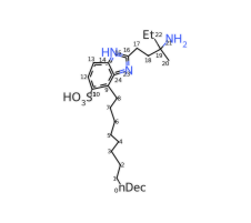 CCCCCCCCCCCCCCCCCCc1c(S(=O)(=O)O)ccc2[nH]c(CCC(C)(N)CC)nc12